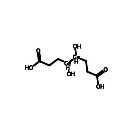 O=C(O)C[CH2][GeH]([OH])[GeH]([OH])[CH2]CC(=O)O